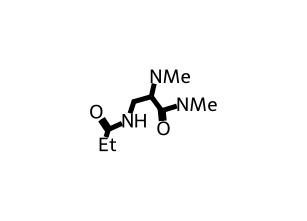 CCC(=O)NCC(NC)C(=O)NC